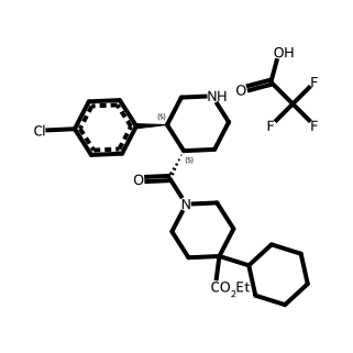 CCOC(=O)C1(C2CCCCC2)CCN(C(=O)[C@H]2CCNC[C@@H]2c2ccc(Cl)cc2)CC1.O=C(O)C(F)(F)F